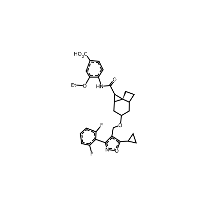 CCOc1cc(C(=O)O)ccc1NC(=O)C1C2CC(OCc3c(-c4c(F)cccc4F)noc3C3CC3)CC3CC[C@@]321